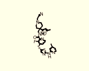 Cc1ccnc(Nc2ncc(Sc3ccnc(C(=O)NCC4(c5cc(C)on5)CCN(CC#N)CC4)c3F)s2)c1